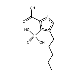 CCCCCc1csc(C(=O)O)c1P(=O)(O)O